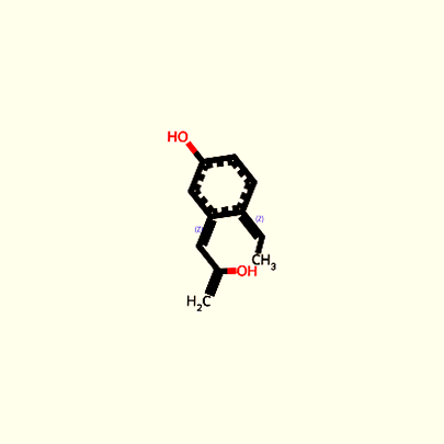 C=C(O)/C=c1/cc(O)cc/c1=C/C